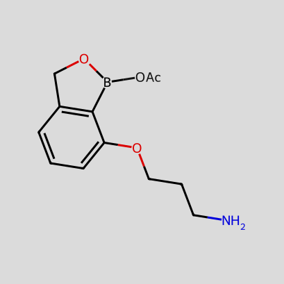 CC(=O)OB1OCc2cccc(OCCCN)c21